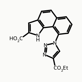 CCOC(=O)c1cn(-c2cccc3ccc4cc(C(=O)O)[nH]c4c23)nn1